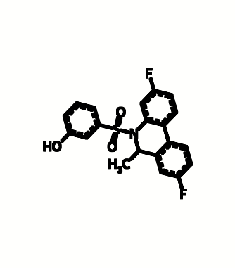 CC1c2cc(F)ccc2-c2ccc(F)cc2N1S(=O)(=O)c1cccc(O)c1